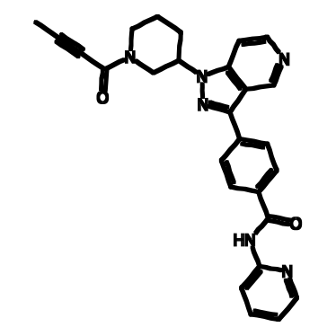 CC#CC(=O)N1CCCC(n2nc(-c3ccc(C(=O)Nc4ccccn4)cc3)c3cnccc32)C1